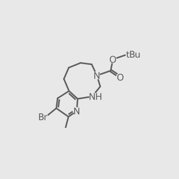 Cc1nc2c(cc1Br)CCCCN(C(=O)OC(C)(C)C)CN2